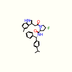 Cc1ccc2[nH]cc(CC(=O)N3C[C@H](F)C[C@H]3C(=O)N[C@@H](c3ccccc3)c3ccc(C(C)C)cc3)c2c1